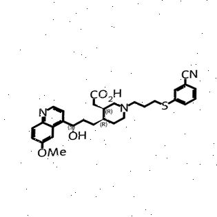 COc1ccc2nccc([C@@H](O)CC[C@@H]3CCN(CCCSc4cccc(C#N)c4)C[C@@H]3CC(=O)O)c2c1